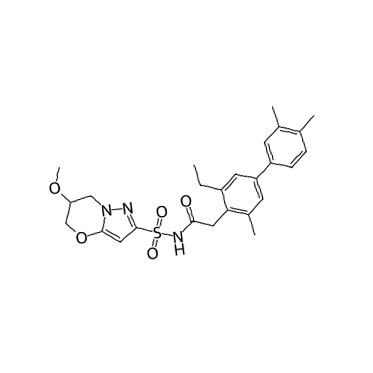 CCc1cc(-c2ccc(C)c(C)c2)cc(C)c1CC(=O)NS(=O)(=O)c1cc2n(n1)CC(OC)CO2